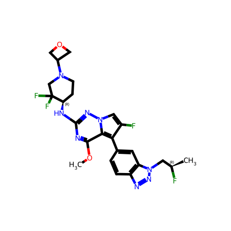 COc1nc(N[C@@H]2CCN(C3COC3)CC2(F)F)nn2cc(F)c(-c3ccc4nnn(C[C@@H](C)F)c4c3)c12